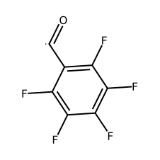 O=[C]c1c(F)c(F)c(F)c(F)c1F